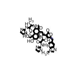 CC(NC(CC1C2(CO2)C(NC(C)C(=O)NC2=NCC=N2)CC2[C@]1(C)CC[C@@H](O)[C@@]2(C)CO)C1=C/C(=C\c2cnc3c(c2)ncn3C)OC1=O)C(=O)NC1=NCC=N1